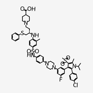 Cc1cc(S(=O)(=O)Nc2ccc(N3CCN(c4cc(F)cc(-c5c(S(C)(=O)=O)c(C)n(C(C)C)c5-c5ccc(Cl)cc5)c4)CC3)cc2)ccc1N[C@H](CCN1CCC(C(=O)O)CC1)CSc1ccccc1